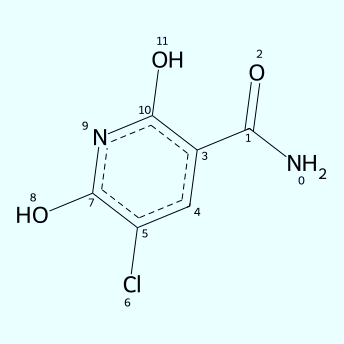 NC(=O)c1cc(Cl)c(O)nc1O